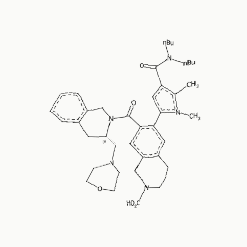 CCCCN(CCCC)C(=O)c1cc(-c2cc3c(cc2C(=O)N2Cc4ccccc4C[C@H]2CN2CCOCC2)CN(C(=O)O)CC3)n(C)c1C